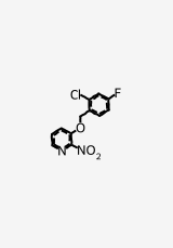 O=[N+]([O-])c1ncccc1OCc1ccc(F)cc1Cl